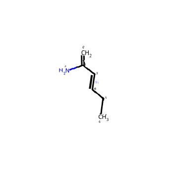 C=C(N)/C=C/CC